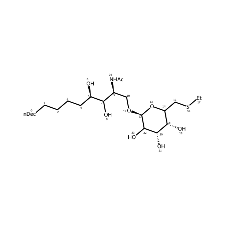 CCCCCCCCCCCCCC[C@@H](O)C(O)[C@H](CO[C@H]1OC(CSCC)[C@H](O)[C@H](O)C1O)NC(C)=O